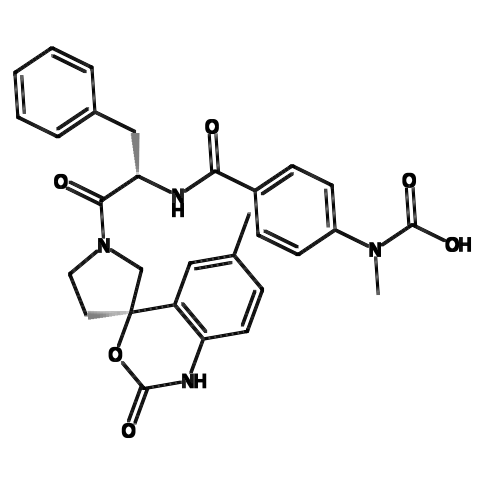 Cc1ccc2c(c1)[C@@]1(CCN(C(=O)[C@H](Cc3ccccc3)NC(=O)c3ccc(N(C)C(=O)O)cc3)C1)OC(=O)N2